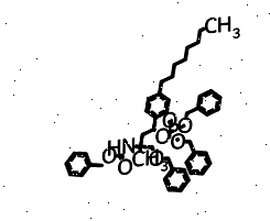 CCCCCCCCc1ccc(C(CC(C)(COCc2ccccc2)NC(=O)OCc2ccccc2)OP(=O)(OCc2ccccc2)OCc2ccccc2)cc1